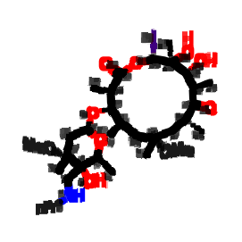 CCCNC[C@@]1(O)[C@H](C)O[C@@H](O[C@H]2[C@H](C)C[C@](C)(OC)C[C@@H](C)C(=O)[C@H](C)[C@@H](O)[C@](C)(O)[C@@H](I)OC(=O)[C@@H]2C)C[C@@]1(C)OC